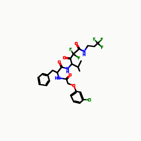 CC(C)C(NC(=O)C(Cc1ccccc1)NC(=O)COc1cccc(Cl)c1)C(=O)C(F)(F)C(=O)NCCC(F)(F)F